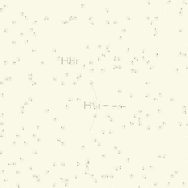 Br.C[SiH](C)C